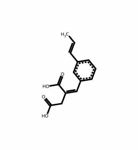 CC=Cc1cccc(C=C(CC(=O)O)C(=O)O)c1